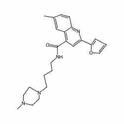 Cc1ccc2nc(-c3ccco3)cc(C(=O)NCCCCN3CCN(C)CC3)c2c1